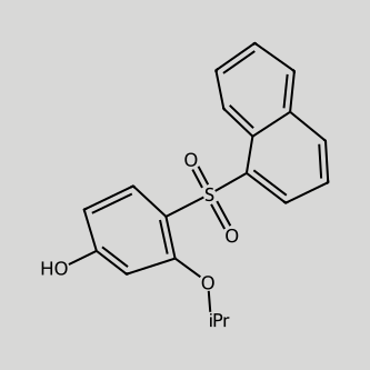 CC(C)Oc1cc(O)ccc1S(=O)(=O)c1cccc2ccccc12